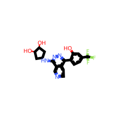 Oc1cc(C(F)(F)F)ccc1-c1nnc(NC2C[C@@H](O)[C@@H](O)C2)c2cnccc12